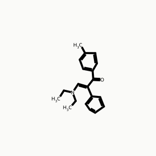 CCN(C=C(C(=O)c1ccc(C)cc1)c1ccccc1)CC